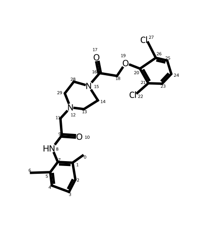 Cc1cccc(C)c1NC(=O)CN1CCN(C(=O)COc2c(Cl)cccc2Cl)CC1